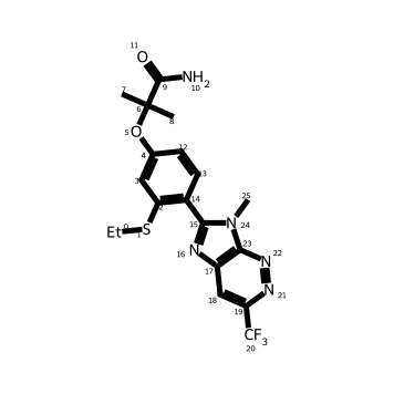 CCSc1cc(OC(C)(C)C(N)=O)ccc1-c1nc2cc(C(F)(F)F)nnc2n1C